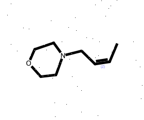 C/C=C\CN1CCOCC1